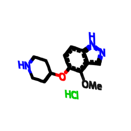 COc1c(OC2CCNCC2)ccc2[nH]ncc12.Cl